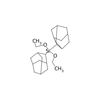 CCO[Si](OCC)(C1C2CC3CC(C2)CC1C3)C1C2CC3CC(C2)CC1C3